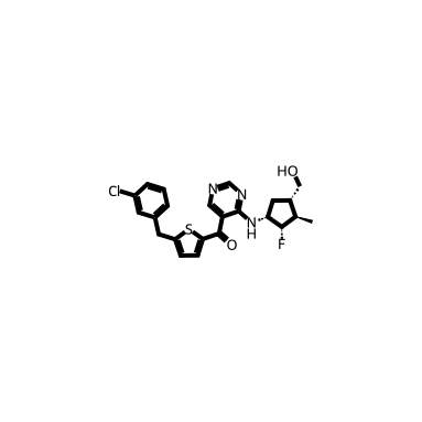 C[C@@H]1[C@@H](CO)C[C@@H](Nc2ncncc2C(=O)c2ccc(Cc3cccc(Cl)c3)s2)[C@H]1F